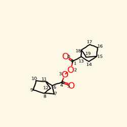 O=C(OOC(=O)C1CC2CCC1C2)C1CC2CCC1C2